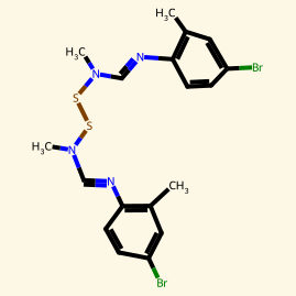 Cc1cc(Br)ccc1N=CN(C)SSN(C)C=Nc1ccc(Br)cc1C